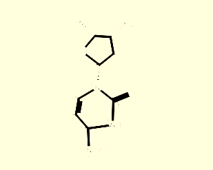 CC[C@H]1O[C@@H](N2C=CC(NC(C)=O)NC2=O)C[C@H]1O